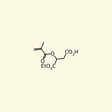 C=C(C)C(=O)OC(CC(=O)O)C(=O)OCC